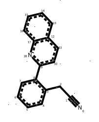 N#CCc1ccccc1-c1ccc2ccccc2n1